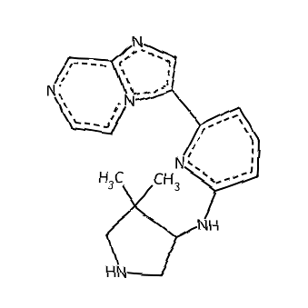 CC1(C)CNCC1Nc1cccc(-c2cnc3cnccn23)n1